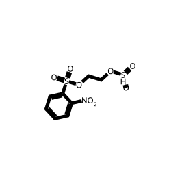 O=[N+]([O-])c1ccccc1S(=O)(=O)OCCO[SH](=O)=O